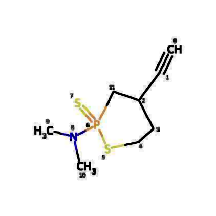 C#CC1CCSP(=S)(N(C)C)C1